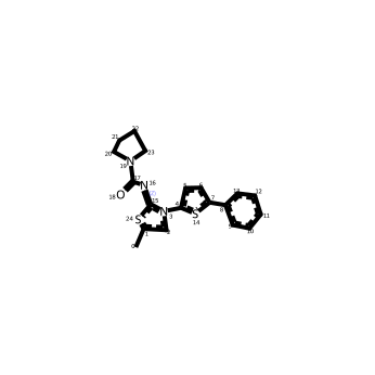 Cc1cn(-c2ccc(-c3ccccc3)s2)/c(=N/C(=O)N2CCCC2)s1